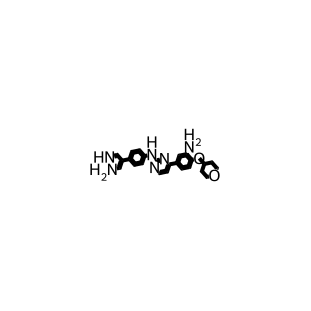 N=C/C(=C\N)c1ccc(Nc2nccc(-c3ccc(OC4CCOCC4)c(N)c3)n2)cc1